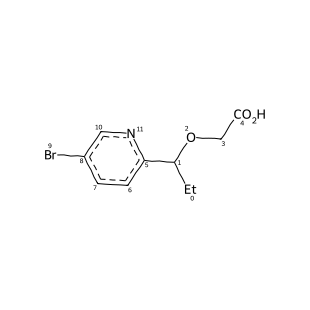 CCC(OCC(=O)O)c1ccc(Br)cn1